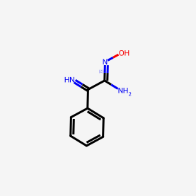 N=C(/C(N)=N/O)c1ccccc1